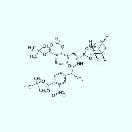 COc1c(C[C@H](NC(=O)C(N)c2ccc(C(=O)OC(C)(C)C)c([N+](=O)[O-])c2)B2O[C@@H]3C[C@@H]4C[C@@H](C4(C)C)[C@]3(C)O2)cccc1C(=O)OC(C)(C)C